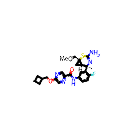 COC[C@]12C[C@H]1[C@](C)(c1cc(NC(=O)c3cnc(OCC4CCC4)cn3)ccc1F)N=C(N)S2